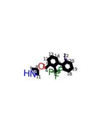 FC(F)(F)c1c(COC2CNC2)cccc1-c1ccccc1I